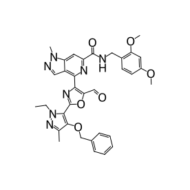 CCn1nc(C)c(OCc2ccccc2)c1-c1nc(-c2nc(C(=O)NCc3ccc(OC)cc3OC)cc3c2cnn3C)c(C=O)o1